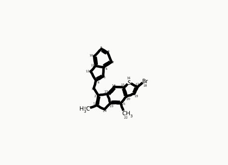 CC1=C(CC2=Cc3ccccc3C2)c2cc3sc(Br)cc3c(C)c2C1